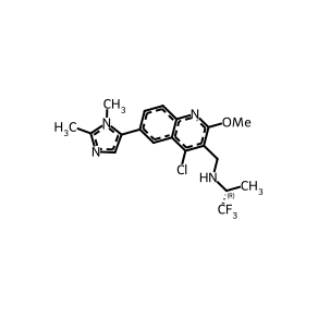 COc1nc2ccc(-c3cnc(C)n3C)cc2c(Cl)c1CN[C@H](C)C(F)(F)F